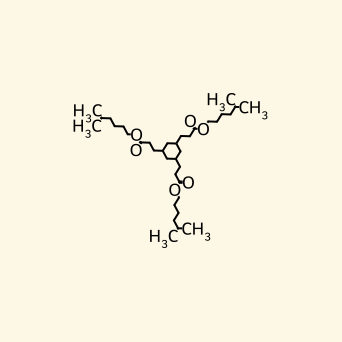 CC(C)CCCCOC(=O)CCC1CC(CCC(=O)OCCCCC(C)C)CC(CCC(=O)OCCCCC(C)C)C1